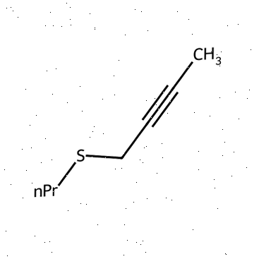 CC#CCSCCC